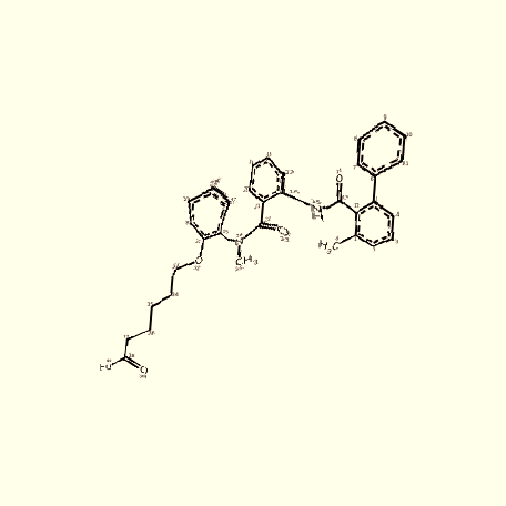 Cc1cccc(-c2ccccc2)c1C(=O)Nc1ccccc1C(=O)N(C)c1ccccc1OCCCCCC(=O)O